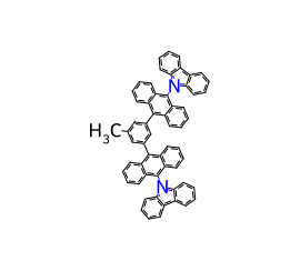 Cc1cc(-c2c3ccccc3c(-n3c4ccccc4c4ccccc43)c3ccccc23)cc(-c2c3ccccc3c(-n3c4ccccc4c4ccccc43)c3ccccc23)c1